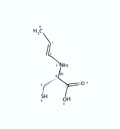 CC=CN[C@@H](CS)C(=O)O